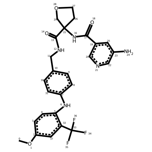 COc1ccc(Nc2ccc(CNC(=O)C3(NC(=O)c4cncc(N)c4)CCOC3)cc2)c(C(F)(F)F)c1